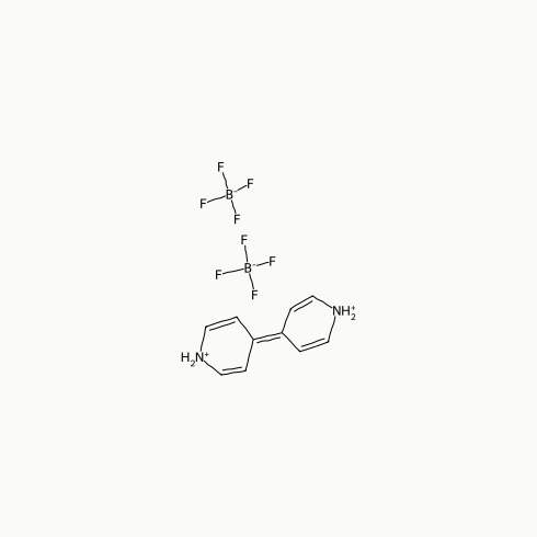 C1=CC(=C2C=C[NH2+]C=C2)C=C[NH2+]1.F[B-](F)(F)F.F[B-](F)(F)F